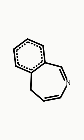 C1=CN=Cc2ccccc2C1